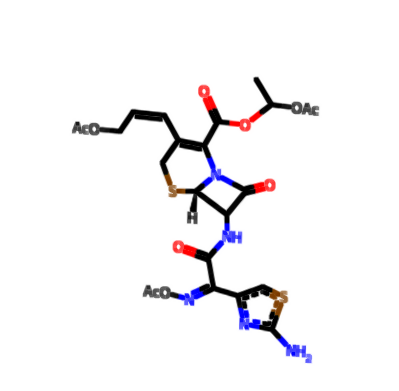 CC(=O)OC/C=C\C1=C(C(=O)OC(C)OC(C)=O)N2C(=O)C(NC(=O)/C(=N\OC(C)=O)c3csc(N)n3)[C@@H]2SC1